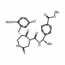 CCCC[C@@H](NC(=O)N1CC(=S)NC[C@H](Cc2cc(Cl)ccc2OC)C1=O)c1ccc(C(=O)OC(C)(C)C)cc1